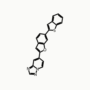 c1ccc2sc(-c3ccc4cc(-c5ccn6ncnc6c5)oc4c3)cc2c1